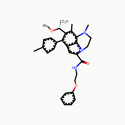 Cc1ccc(-c2c([C@H](OC(C)(C)C)C(=O)O)c(C)c3c4c2cc(C(=O)NCCOc2ccccc2)n4CCN3C)cc1